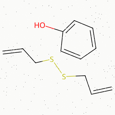 C=CCSSCC=C.Oc1ccccc1